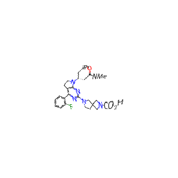 CNC(=O)C[C@@H](CC(C)C)N1CCc2c(-c3ccccc3F)nc(N3CCC4(CN(C(=O)O)C4)C3)nc21